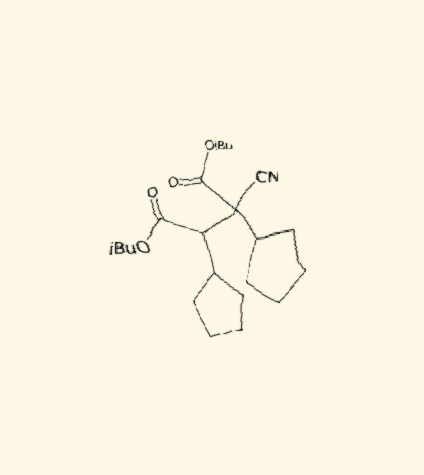 CC(C)COC(=O)C(C1CCCC1)C(C#N)(C(=O)OCC(C)C)C1CCCC1